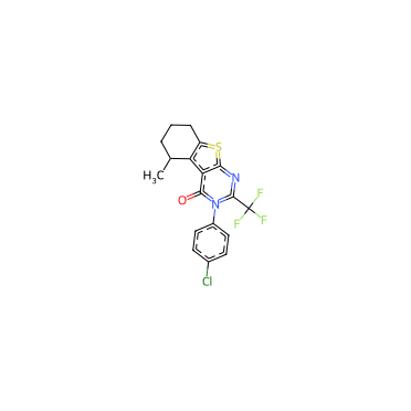 CC1CCCc2sc3nc(C(F)(F)F)n(-c4ccc(Cl)cc4)c(=O)c3c21